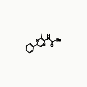 CCC(C)C(=O)Nc1ncc(-c2ccccc2)nc1C